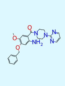 COc1cc(C(=O)N2CCN(c3ncccn3)CC2)c(N)cc1OCc1ccccc1